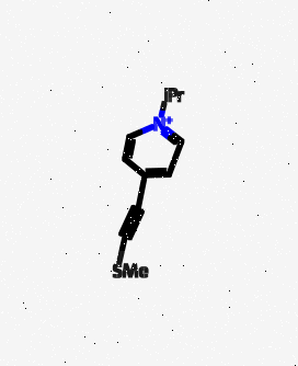 CSC#Cc1cc[n+](C(C)C)cc1